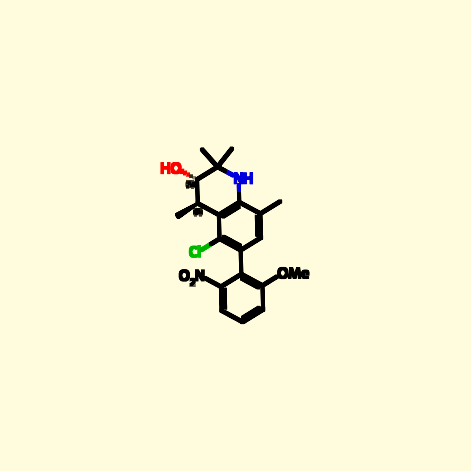 COc1cccc([N+](=O)[O-])c1-c1cc(C)c2c(c1Cl)[C@@H](C)[C@H](O)C(C)(C)N2